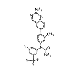 Cc1cc(N(C(N)=O)c2cc(F)cc(C(F)(F)F)c2)ccc1-c1ccc2nc(N)ncc2c1